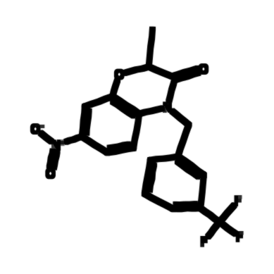 CC1Oc2cc([N+](=O)[O-])ccc2N(Cc2cccc(C(F)(F)F)c2)C1=O